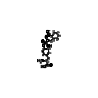 N[C@@H](Cc1ccc(OP(=O)(O)OCc2ccccc2[N+](=O)[O-])cc1)C(=O)O